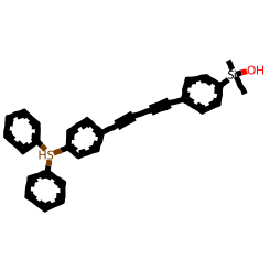 C[Si](C)(O)c1ccc(C#CC#Cc2ccc([SH](c3ccccc3)c3ccccc3)cc2)cc1